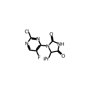 CC(C)C1C(=O)NC(=O)N1c1nc(Cl)ncc1F